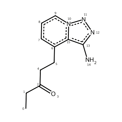 CCC(=O)CCc1cccn2nnc(N)c12